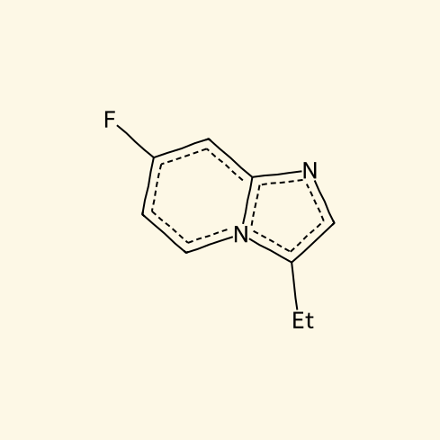 CCc1cnc2cc(F)ccn12